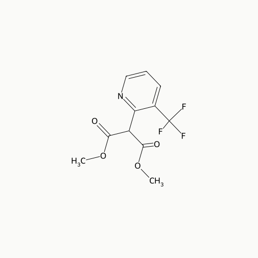 COC(=O)C(C(=O)OC)c1ncccc1C(F)(F)F